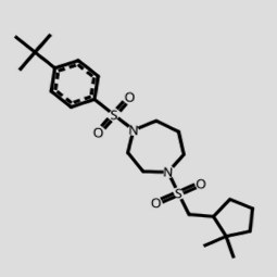 CC(C)(C)c1ccc(S(=O)(=O)N2CCCN(S(=O)(=O)CC3CCCC3(C)C)CC2)cc1